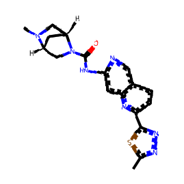 Cc1nnc(-c2ccc3cnc(NC(=O)N4C[C@H]5C[C@@H]4CN5C)cc3n2)s1